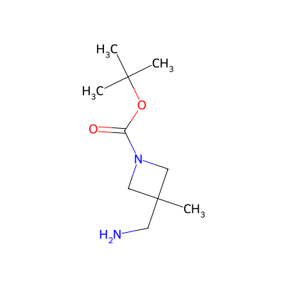 CC1(CN)CN(C(=O)OC(C)(C)C)C1